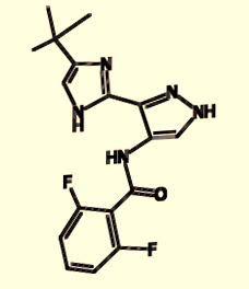 CC(C)(C)c1c[nH]c(-c2n[nH]cc2NC(=O)c2c(F)cccc2F)n1